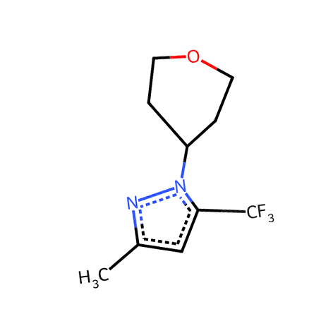 Cc1cc(C(F)(F)F)n(C2CCOCC2)n1